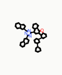 c1ccc(-c2cccc(-c3cccc4oc5c6ccccc6c(-c6nc(-c7ccc8ccccc8c7)nc(-c7ccc8ccccc8c7)n6)cc5c34)c2)cc1